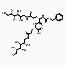 O=C(CC[C@H](NC(=O)[C@H](CCC(=O)NC[C@@H](O)[C@H](O)[C@@H](O)[C@@H](O)CO)NC(=O)OCc1ccccc1)C(=O)O)NC[C@@H](O)[C@H](O)[C@@H](O)[C@@H](O)CO